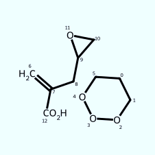 C1COOOC1.C=C(CC1CO1)C(=O)O